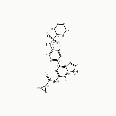 O=C(Nc1cc(-c2ccc(NS(=O)(=O)C3CCCCC3)cc2)c2cc[nH]c2n1)C1CC1